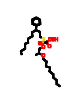 CCCCCCCCCCOC(C)COP(=O)(SCCC(CCCCCCCC)c1ccccc1)C(=O)OO